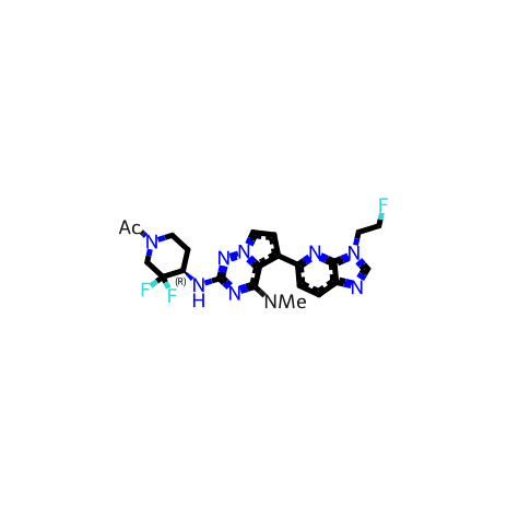 CNc1nc(N[C@@H]2CCN(C(C)=O)CC2(F)F)nn2ccc(-c3ccc4ncn(CCF)c4n3)c12